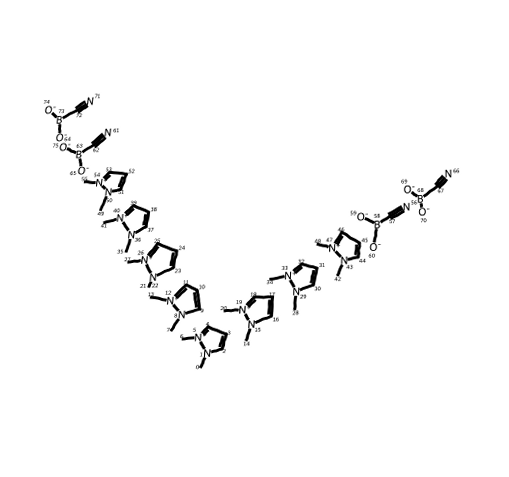 Cn1ccc[n+]1C.Cn1ccc[n+]1C.Cn1ccc[n+]1C.Cn1ccc[n+]1C.Cn1ccc[n+]1C.Cn1ccc[n+]1C.Cn1ccc[n+]1C.Cn1ccc[n+]1C.N#CB([O-])[O-].N#CB([O-])[O-].N#CB([O-])[O-].N#CB([O-])[O-]